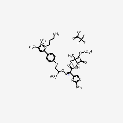 Cc1cc(-c2ccc(OCC(O/N=C(\C(=O)N[C@@H]3C(=O)N(OS(=O)(=O)O)C3(C)C)c3csc(N)n3)C(=O)O)cc2)n(CCCN)[n+]1C.O=C([O-])C(F)(F)F